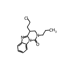 CCCN1CC(CCCl)c2nc3ccccc3n2C1=O